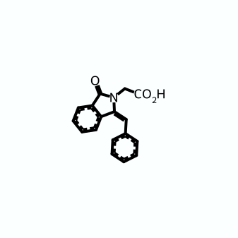 O=C(O)CN1C(=O)c2ccccc2C1=Cc1ccccc1